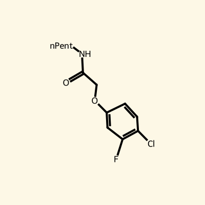 CCCCCNC(=O)COc1ccc(Cl)c(F)c1